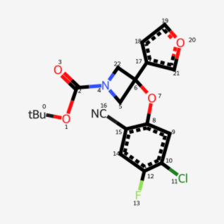 CC(C)(C)OC(=O)N1CC(Oc2cc(Cl)c(F)cc2C#N)(c2ccoc2)C1